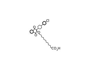 O=C(O)CCCCCCCCCCCOC1=C(C2CCC(c3ccc(Cl)cc3)CC2)C(=O)c2ccccc2C1=O